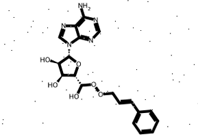 Nc1ncnc2c1ncn2[C@@H]1O[C@H](C(O)OOCC=Cc2ccccc2)[C@@H](O)[C@H]1O